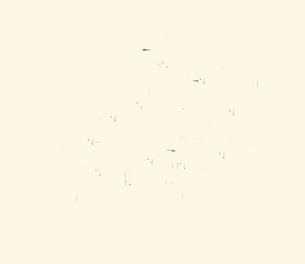 CC(C)[C@H](NC(=O)[C@H](C)NC(=O)[C@@H](NC(=O)[C@@H]1CCCN1C(=O)[C@H](CCC(=O)O)NC(=O)[C@H](C)NC(=O)[C@H](C)NC(=O)[C@@H]1CCCN1)C(C)C)C(=O)N[C@H](C(=O)N[C@@H](CCCCN)C(=O)O)C(C)C